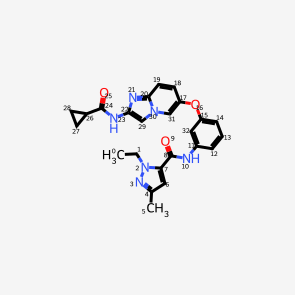 CCn1nc(C)cc1C(=O)Nc1cccc(Oc2ccc3nc(NC(=O)C4CC4)cn3c2)c1